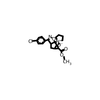 CCOC(=O)C1C2CC3C(c4ccc(Cl)cc4)=NOC3([N+]3([O-])CCCC3)C21